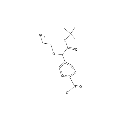 CC(C)(C)OC(=O)C(OCCN)c1ccc([N+](=O)[O-])cc1